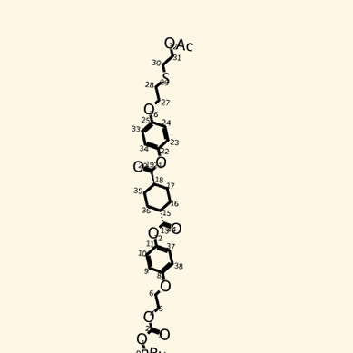 CCCCOC(=O)OCCOc1ccc(OC(=O)[C@H]2CC[C@H](C(=O)Oc3ccc(OCCSCCOC(C)=O)cc3)CC2)cc1